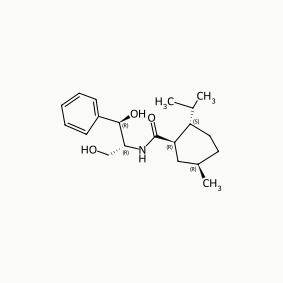 CC(C)[C@@H]1CC[C@@H](C)C[C@H]1C(=O)N[C@H](CO)[C@H](O)c1ccccc1